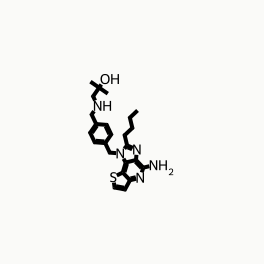 CCCCc1nc2c(N)nc3ccsc3c2n1Cc1ccc(CNCC(C)(C)O)cc1